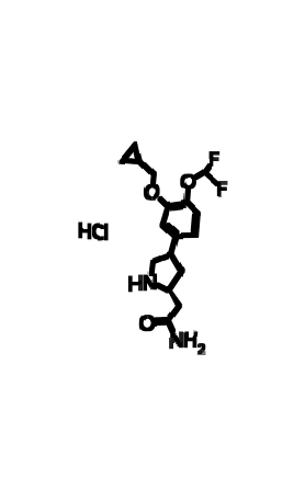 Cl.NC(=O)C[C@@H]1CC(c2ccc(OC(F)F)c(OCC3CC3)c2)CN1